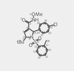 CONC(=O)C1=CC(C(C)(C)C)N(S(=O)(=O)c2ccccc2C)C1c1ccc(Cl)cc1